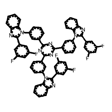 Fc1cc(F)cc(-c2nc3ccccc3n2-c2cccc(-c3nc(-c4cccc(-n5c(-c6cc(F)cc(F)c6)nc6ccccc65)c4)nc(-c4cccc(-n5c(-c6cc(F)cc(F)c6)nc6ccccc65)c4)n3)c2)c1